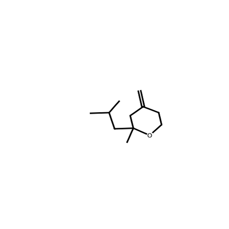 C=C1CCOC(C)(CC(C)C)C1